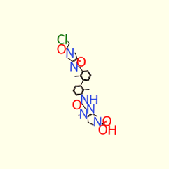 Cc1c(NC(=O)c2nc3c(n2C)CCN(C(=O)O)C3)cccc1-c1cccc(-c2nc3c(o2)CN(C(=O)CCl)C3)c1C